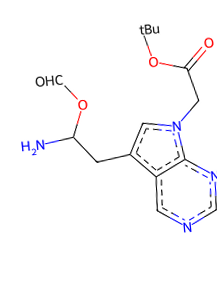 CC(C)(C)OC(=O)Cn1cc(CC(N)OC=O)c2cncnc21